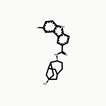 O=C(N[C@H]1CCC2CC3C[C@@](O)(C2)CC31)c1ccc2[nH]c3ccc(Cl)cc3c2c1